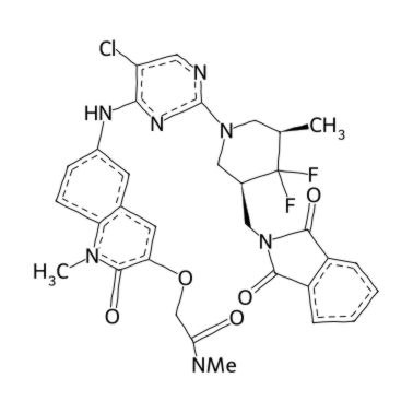 CNC(=O)COc1cc2cc(Nc3nc(N4C[C@H](CN5C(=O)c6ccccc6C5=O)C(F)(F)[C@H](C)C4)ncc3Cl)ccc2n(C)c1=O